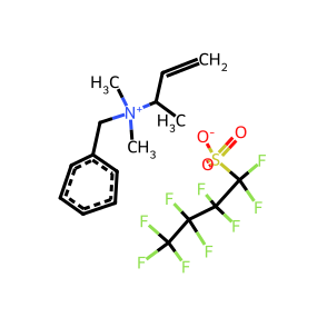 C=CC(C)[N+](C)(C)Cc1ccccc1.O=S(=O)([O-])C(F)(F)C(F)(F)C(F)(F)C(F)(F)F